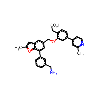 Cc1cc(-c2ccc(CC(=O)O)c(OCc3cc(-c4cccc(CN)c4)c4oc(C)cc4c3)c2)ccn1